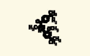 COc1nc(C(C)C)ccc1-c1nc(C)c(C(=O)N2CCN(C(C)C)CC2)s1